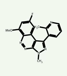 COc1cc(F)cc2c1nnc1c2c(-c2cccnc2C)nn1C